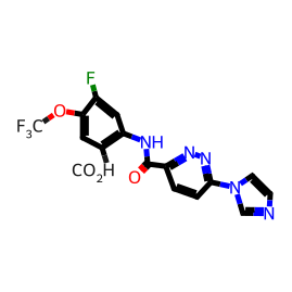 O=C(Nc1cc(F)c(OC(F)(F)F)cc1C(=O)O)c1ccc(-n2ccnc2)nn1